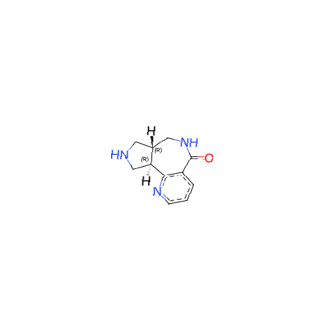 O=C1NC[C@H]2CNC[C@@H]2c2ncccc21